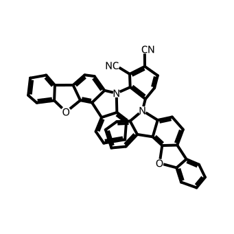 N#Cc1ccc(-n2c3ccccc3c3c4oc5ccccc5c4ccc32)c(-n2c3ccccc3c3c4oc5ccccc5c4ccc32)c1C#N